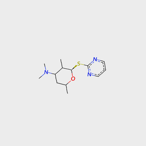 CC1CC(N(C)C)C(C)[C@@H](Sc2ncccn2)O1